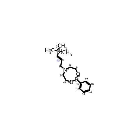 C[N+](C)(C)/C=C/CN1CCOB(c2ccccc2)OCC1